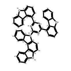 c1ccc2c(c1)oc1cccc(-c3nc(-c4cccc5oc6ccccc6c45)nc(-n4c5ccccc5c5c6c(ccc54)oc4ccccc46)n3)c12